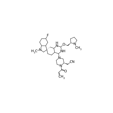 C=CC(=O)N1CCN(C2NC(OC[C@H]3CCCN3C)NC3C[C@]4(CCC32)CN(C)C2CCC(F)CC24)C[C@H]1CC#N